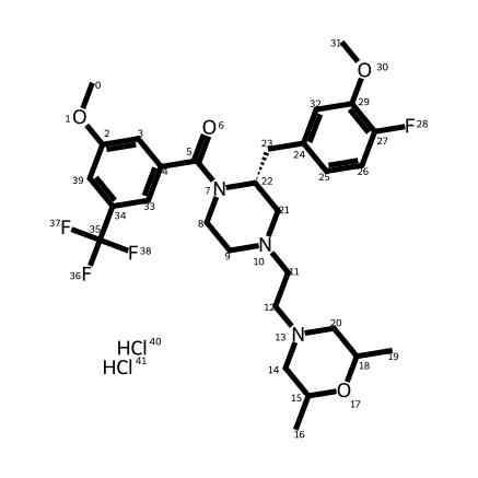 COc1cc(C(=O)N2CCN(CCN3CC(C)OC(C)C3)C[C@H]2Cc2ccc(F)c(OC)c2)cc(C(F)(F)F)c1.Cl.Cl